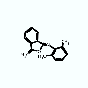 C=C1O/C(=N\c2c(C)cccc2C)c2ccccc21